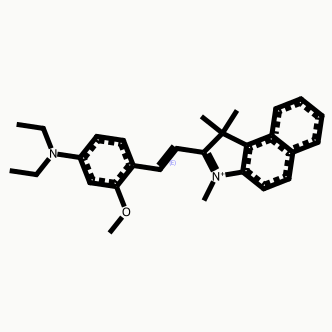 CCN(CC)c1ccc(/C=C/C2=[N+](C)c3ccc4ccccc4c3C2(C)C)c(OC)c1